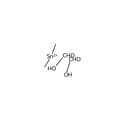 O=[C-]O.O=[C-]O.[CH3][Sn+2][CH3]